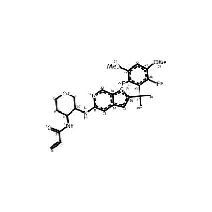 C=CC(=O)NC1CCOCC1Nc1cc2cc(C(C)(F)c3c(F)c(OC)cc(OC)c3F)sc2cn1